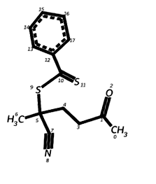 CC(=O)CCC(C)(C#N)SC(=S)c1ccccc1